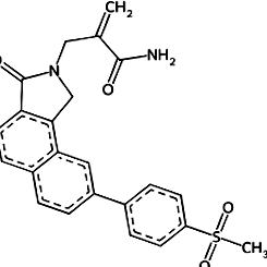 C=C(CN1Cc2c(ccc3ccc(-c4ccc(S(C)(=O)=O)cc4)cc23)C1=O)C(N)=O